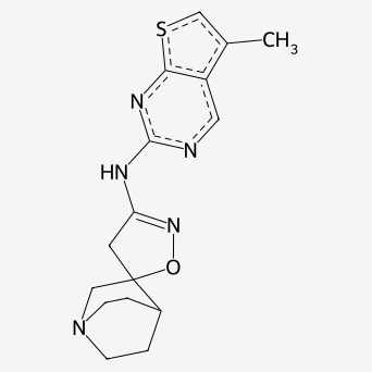 Cc1csc2nc(NC3=NOC4(C3)CN3CCC4CC3)ncc12